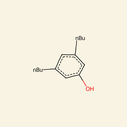 CCCCc1cc(O)cc(CCCC)c1